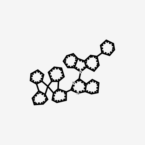 c1ccc(-c2ccc3c(c2)c2ccccc2n3-c2nc(-c3cccc4c3-c3ccccc3C43c4ccccc4-c4ccccc43)nc3ccccc23)cc1